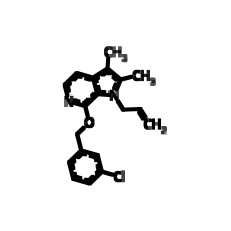 C=CCn1c(C)c(C)c2ccnc(OCc3cccc(Cl)c3)c21